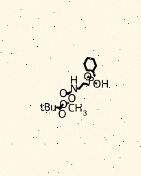 CC(OC(=O)NCCCP(=O)(O)CC1CCCCC1)OC(=O)C(C)(C)C